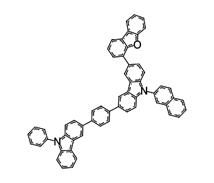 c1ccc(-n2c3ccccc3c3cc(-c4ccc(-c5ccc6c(c5)c5cc(-c7cccc8c7oc7ccccc78)ccc5n6-c5ccc6ccccc6c5)cc4)ccc32)cc1